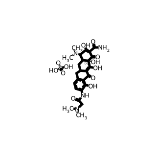 CN(C)CC(=O)Nc1ccc2c(c1O)C(=O)C1=C(O)[C@]3(O)C(=O)C(C(N)=O)=C(O)[C@@H](N(C)C)C3CC1C2.O=S(=O)(O)O